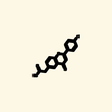 O=C(O)Cc1ccc2oc(-c3ccc(Cl)cc3)cc(=O)c2c1